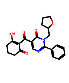 O=C1CCCC(O)=C1C(=O)c1cnc(-c2ccccc2)n(CC2CCCO2)c1=O